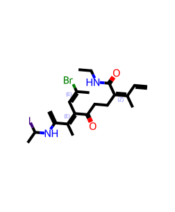 C=C/C(C)=C(/CCC(=O)C(/C=C(\C)Br)=C(\C)C(=C)NC(C)I)C(=O)NCC